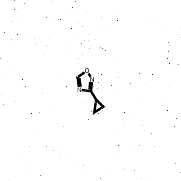 c1nc(C2CC2)no1